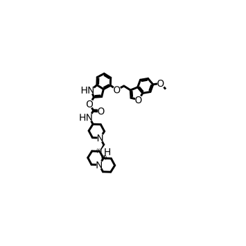 COc1ccc2c(COc3cccc4[nH]c(OC(=O)NC5CCN(C[C@@H]6CCCN7CCCC[C@H]67)CC5)cc34)coc2c1